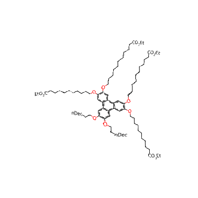 CCCCCCCCCCCCOc1cc2c(cc1OCCCCCCCCCCCC)c1cc(OCCCCCCCCCCC(=O)OCC)c(OCCCCCCCCCCC(=O)OCC)cc1c1cc(OCCCCCCCCCCC(=O)OCC)c(OCCCCCCCCCCC(=O)OCC)cc21